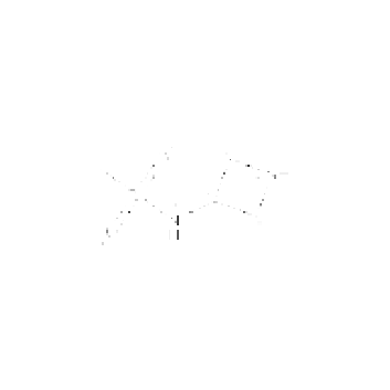 CS(=O)(=O)NC1CNC1